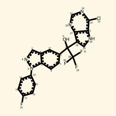 OC(c1ccc2c(cnn2-c2ccc(F)cc2)c1)(c1c[nH]c2c(Cl)ncnc12)C(F)(F)F